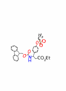 CCOC(=O)CC(NC(=O)OCC1c2ccccc2-c2ccccc21)c1ccc(OS(C)(=O)=O)cc1